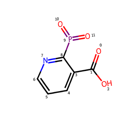 O=C(O)c1cccnc1P(=O)=O